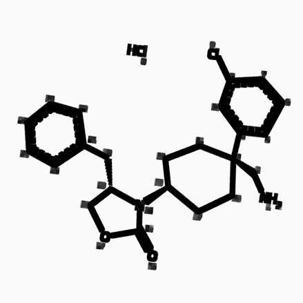 Cl.NC[C@]1(c2cccc(Cl)c2)CC[C@H](N2C(=O)OC[C@@H]2Cc2ccccc2)CC1